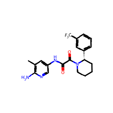 Cc1cc(NC(=O)C(=O)N2CCCC[C@H]2c2cccc(C(F)(F)F)c2)cnc1N